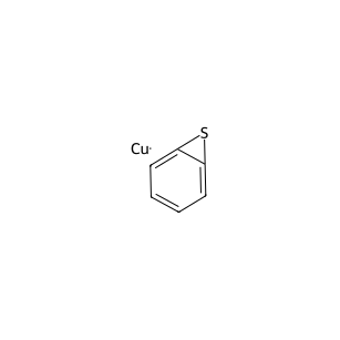 [Cu].c1ccc2c(c1)S2